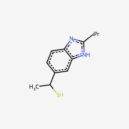 CC(C)c1nc2ccc(C(C)S)cc2[nH]1